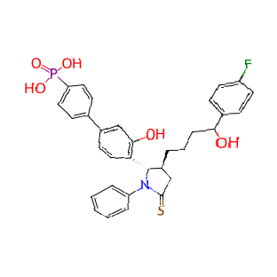 O=P(O)(O)c1ccc(-c2ccc([C@@H]3[C@@H](CCCC(O)c4ccc(F)cc4)CC(=S)N3c3ccccc3)c(O)c2)cc1